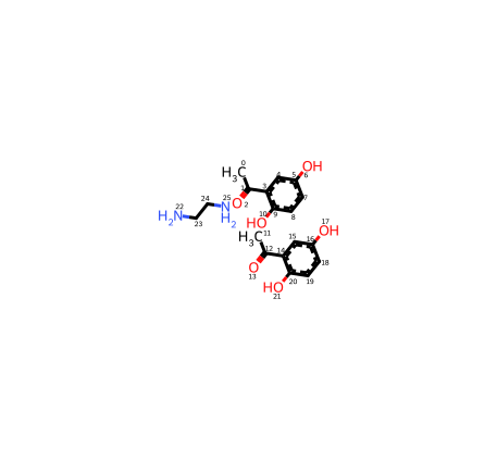 CC(=O)c1cc(O)ccc1O.CC(=O)c1cc(O)ccc1O.NCCN